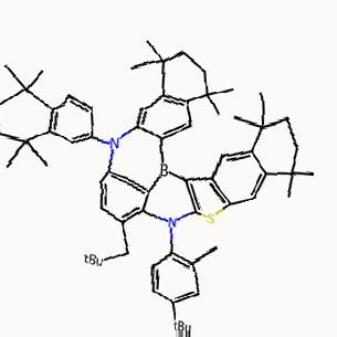 Cc1cc(C(C)(C)C)ccc1N1c2sc3cc4c(cc3c2B2c3cc5c(cc3N(c3ccc6c(c3)C(C)(C)CCC6(C)C)c3ccc(CC(C)(C)C)c1c32)C(C)(C)CCC5(C)C)C(C)(C)CCC4(C)C